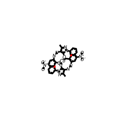 Cc1nn(-c2ccccc2)c2c1N=Nc1cc([N+](=O)[O-])ccc1[CH2][Co]1([O]c3ccc([N+](=O)[O-])cc3N=Nc3c(C)nn(-c4ccccc4)c3[O]1)[O]2